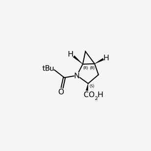 CC(C)(C)C(=O)N1[C@@H]2C[C@@H]2C[C@H]1C(=O)O